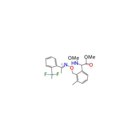 CONC(C(=O)OC)c1cccc(C)c1CO/N=C(\C)c1ccccc1C(C)(F)F